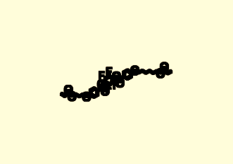 C=CC(=O)OCCCCCCOc1ccc(C(=O)Oc2c(F)c(F)c(OC(=O)c3ccc(OCCCOC(=O)C=C)cc3)c(F)c2F)cc1